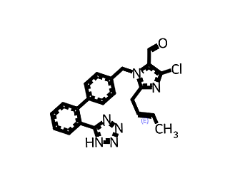 C/C=C/Cc1nc(Cl)c(C=O)n1Cc1ccc(-c2ccccc2-c2nnn[nH]2)cc1